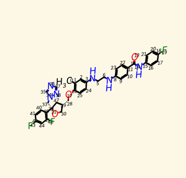 Cc1cc(NCCNc2ccc(C(=O)Nc3ccc(F)cc3)cc2)ccc1OC[C@@H]1CO[C@@](Cn2cncn2)(c2ccc(F)cc2F)C1